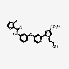 Cc1ccsc1C(=O)Nc1cccc(Oc2ccnc(-c3cc(C(=O)O)cn3CCO)c2)c1